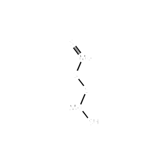 [S]=[Mo][S][S][Mo][SH]